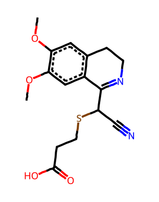 COc1cc2c(cc1OC)C(C(C#N)SCCC(=O)O)=NCC2